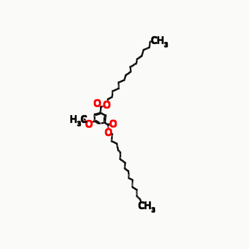 CCCCCCCCCCCCCCCCOC(=O)c1cc(OC)cc(C(=O)OCCCCCCCCCCCCCCCC)c1